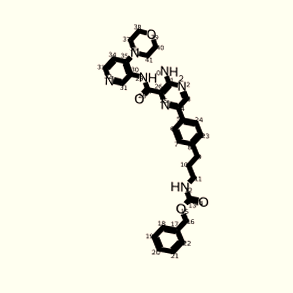 Nc1ncc(-c2ccc(CCCNC(=O)OCc3ccccc3)cc2)nc1C(=O)Nc1cnccc1N1CCOCC1